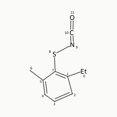 CCc1cccc(C)c1SN=C=O